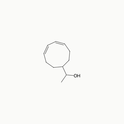 CC(O)C1CCC=CC=CCC1